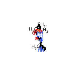 Cc1cc(C)c(S(=O)(=O)N[C@@H](CNC(=O)c2cnn(CCc3cc4c(nc3C)NCCC4)c2)C(=O)O)c(C)c1